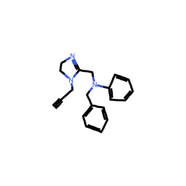 C#CCN1CCN=C1CN(Cc1ccccc1)c1ccccc1